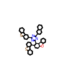 C1=CC2Oc3ccccc3C2C(c2nc(-c3ccc4ccccc4c3)nc(-c3ccc4sc5ccccc5c4c3)n2)=C1c1cccc2sc3ccccc3c12